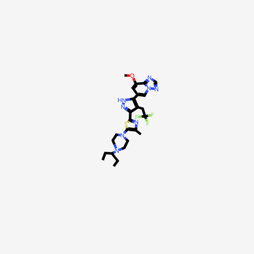 CCC(CC)N1CCN(c2sc(-c3n[nH]c(-c4cc(OC)c5ncnn5c4)c3CC(F)(F)F)nc2C)CC1